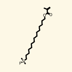 C=C(C)C(=O)OCCCCCCCCCCCCCCC[Si](C)(C)F